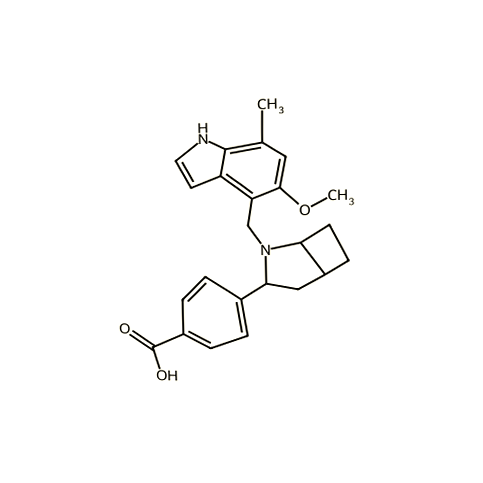 COc1cc(C)c2[nH]ccc2c1CN1C(c2ccc(C(=O)O)cc2)CC2CCC21